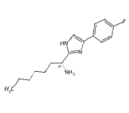 CCCCCC[C@@H](N)c1nc(-c2ccc(F)cc2)c[nH]1